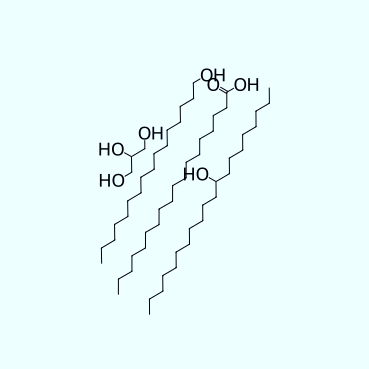 CCCCCCCCCCCC(O)CCCCCCCC.CCCCCCCCCCCCCCCCCC(=O)O.CCCCCCCCCCCCCCCCO.OCC(O)CO